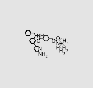 CC(C)(C)NC(=O)OCC1CCC(C(=O)NC(Cc2ccccc2)c2cccc(-c3ccc(N)nc3)c2)CC1